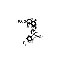 Cc1cc(CN2CCN(c3ccc(C(F)(F)F)cn3)[C@H](CC(C)C)C2)cc2c1CCC(C(=O)O)N2C